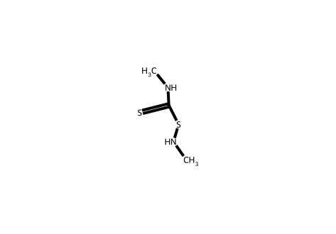 CNSC(=S)NC